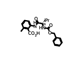 Cc1cccc(NC(=O)[C@@H](NC(=O)OCc2ccccc2)C(C)C)c1C(=O)O